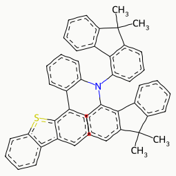 CC1(C)c2ccccc2-c2c(N(c3ccccc3-c3cccc4c3sc3ccccc34)c3cccc4c3-c3ccccc3C4(C)C)cccc21